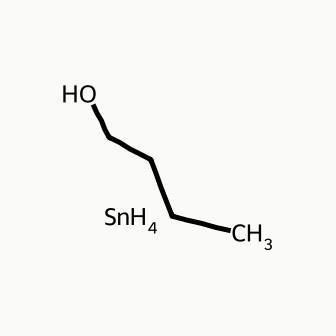 CCCCO.[SnH4]